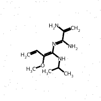 C=C/C(OC)=C(\N=C(/N)C(=C)N)NC(C)C